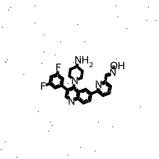 NC1CCN(c2c(-c3cc(F)cc(F)c3)cnc3ccc(-c4cccc(C=NO)n4)cc23)CC1